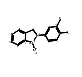 Cc1ccc(N2Cc3ccccc3[S+]2[O-])cc1C